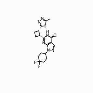 Cc1nnc([C@H]2CC[C@H]2c2nc3c(cnn3C3CCC(F)(F)CC3)c(=O)[nH]2)s1